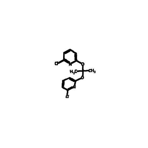 CC(C)(Oc1cccc(Cl)n1)Oc1cccc(Cl)n1